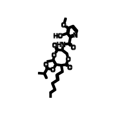 CCCCC=CCC1C(=O)OCC(NC(=O)c2nccc(OC)c2O)C(=O)OC(C)C1OC(=O)C(C)C